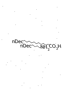 CCCCCCCCCCCCCCCCCCCCCC(=O)O.CCCCCCCCCCCCCCN